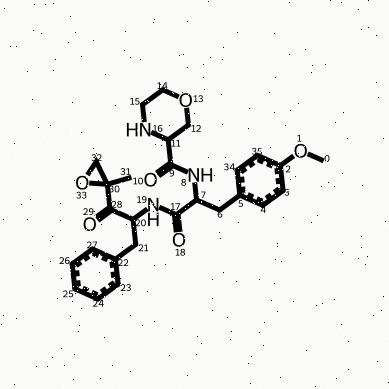 COc1ccc(CC(NC(=O)C2COCCN2)C(=O)NC(Cc2ccccc2)C(=O)C2(C)CO2)cc1